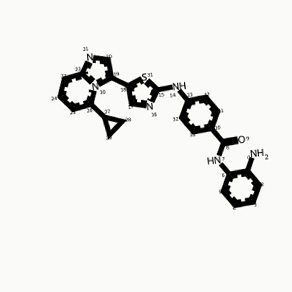 Nc1ccccc1NC(=O)c1ccc(Nc2ncc(-c3cnc4cccc(C5CC5)n34)s2)cc1